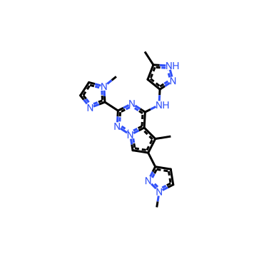 Cc1cc(Nc2nc(-c3nccn3C)nn3cc(-c4ccn(C)n4)c(C)c23)n[nH]1